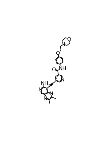 Cc1nc2cnc(N)c(C#Cc3cncc(C(=O)Nc4ccc(OCCN5CCOCC5)cc4)c3)c2nc1C